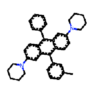 Cc1cccc(-c2c3ccc(N4CCCCC4)cc3c(-c3ccccc3)c3ccc(N4CCCCC4)cc23)c1